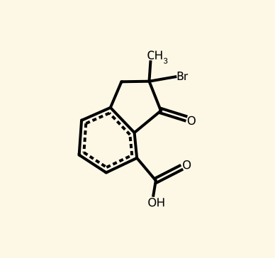 CC1(Br)Cc2cccc(C(=O)O)c2C1=O